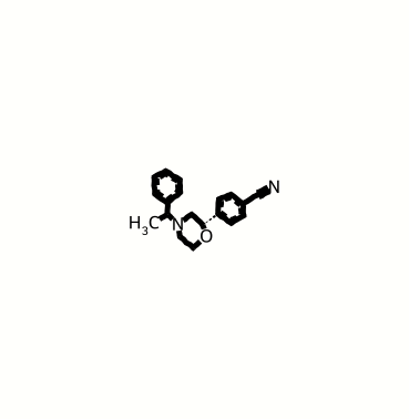 CC(c1ccccc1)N1CCO[C@@H](c2ccc(C#N)cc2)C1